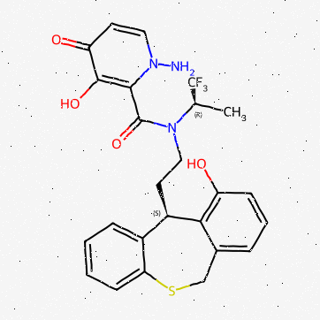 C[C@@H](N(CC[C@@H]1c2ccccc2SCc2cccc(O)c21)C(=O)c1c(O)c(=O)ccn1N)C(F)(F)F